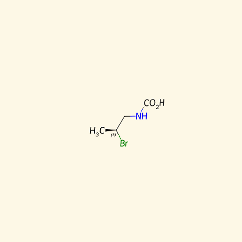 C[C@H](Br)CNC(=O)O